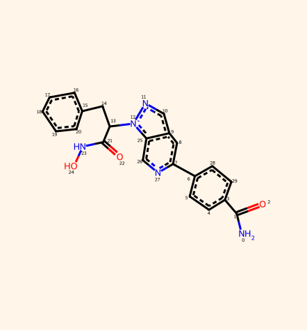 NC(=O)c1ccc(-c2cc3cnn(C(Cc4ccccc4)C(=O)NO)c3cn2)cc1